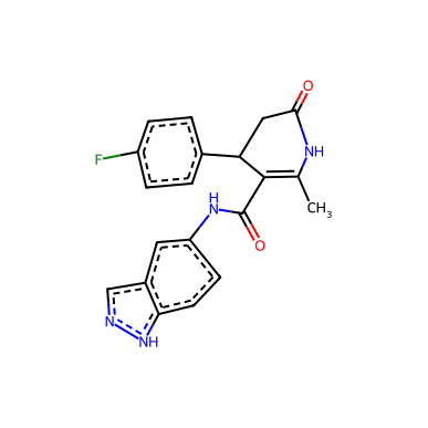 CC1=C(C(=O)Nc2ccc3[nH]ncc3c2)C(c2ccc(F)cc2)CC(=O)N1